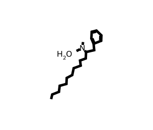 CCCCCCCCCCCC(Cc1ccccc1)N(C)C.O